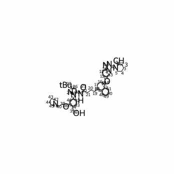 C[C@H]1CCCCN1c1nnc2ccc(O[C@@H]3CC[C@H](CCCC(=O)Nc4cc(C(C)(C)C)nn4-c4ccc(CO)c(OCCN5CCCC5)c4)c4ccccc43)cn12